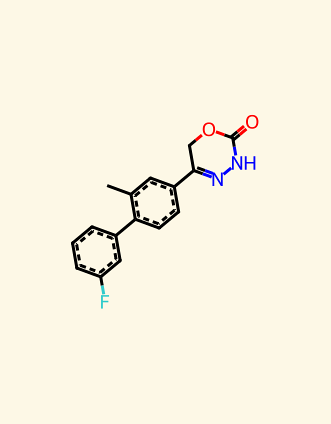 Cc1cc(C2=NNC(=O)OC2)ccc1-c1cccc(F)c1